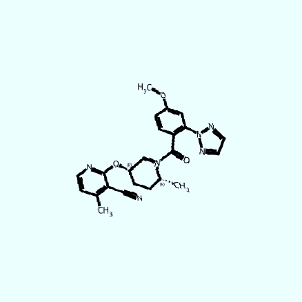 COc1ccc(C(=O)N2C[C@H](Oc3nccc(C)c3C#N)CC[C@H]2C)c(-n2nccn2)c1